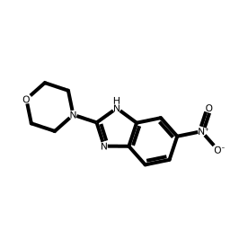 O=[N+]([O-])c1ccc2nc(N3CCOCC3)[nH]c2c1